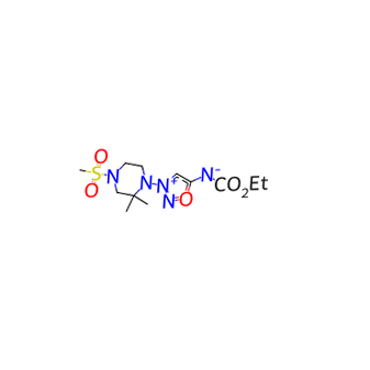 CCOC(=O)[N-]c1c[n+](N2CCN(S(C)(=O)=O)CC2(C)C)no1